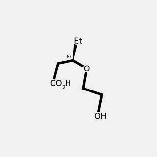 CC[C@H](CC(=O)O)OCCO